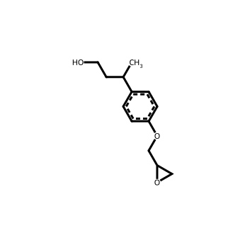 CC(CCO)c1ccc(OCC2CO2)cc1